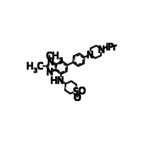 Cc1nc2c(NC3CCS(=O)(=O)CC3)cc(-c3ccc(N4CCN(C(C)C)CC4)cc3)cc2n1C